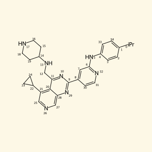 CC(C)c1ccc(Nc2cc(-c3nc(CNC4CCNCC4)c4c(C5CC5)cncc4n3)ccn2)cc1